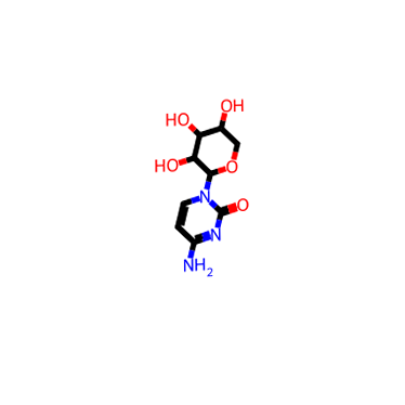 Nc1ccn(C2OCC(O)C(O)C2O)c(=O)n1